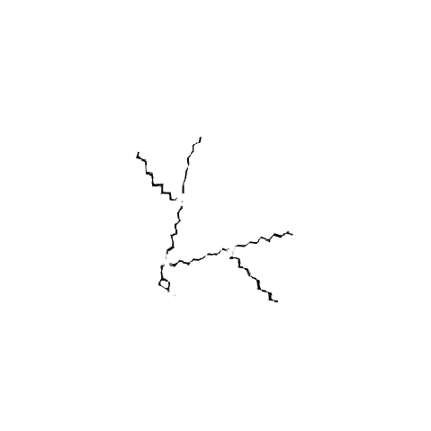 CCCCCCCCCCN(CCCCCCCCN(CCCCCCCCN(CCCCCCCCCC)C(=O)CCCCCCCCC)CC1CC(O)C1)C(=O)CCCCCCCCC